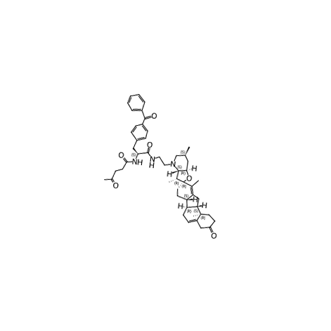 CC(=O)CCC(=O)N[C@@H](Cc1ccc(C(=O)c2ccccc2)cc1)C(=O)NCCN1C[C@@H](C)C[C@H]2O[C@]3(CC[C@@H]4C(=C3C)C[C@H]3[C@H]4CC=C4CC(=O)CC[C@@]43C)[C@H](C)[C@@H]21